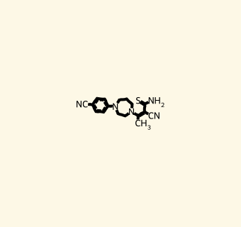 CC(=C(C#N)C(N)=S)N1CCCN(c2ccc(C#N)cc2)CC1